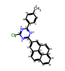 Cc1ccc(-c2nc(Cl)nc(-c3cc4ccc5cccc6ccc(c3)c4c56)n2)cc1